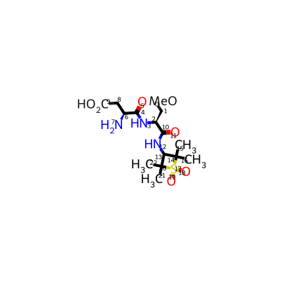 COC[C@H](NC(=O)[C@@H](N)CC(=O)O)C(=O)NC1C(C)(C)S(=O)(=O)C1(C)C